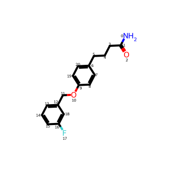 NC(=O)CCCc1ccc(OCc2cccc(F)c2)cc1